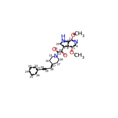 COc1ncc(OC)c2c(C(=O)C(=O)N3CCC(=CC#Cc4ccccc4)CC3)c[nH]c12